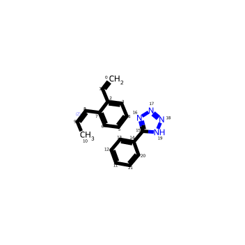 C=Cc1ccccc1/C=C\C.c1ccc(-c2nnn[nH]2)cc1